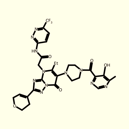 CCc1c(N2CCN(C(=O)c3ncnc(C)c3O)CC2)c(=O)n2nc(C3=CCOCC3)nc2n1CC(=O)Nc1ccc(C(F)(F)F)nn1